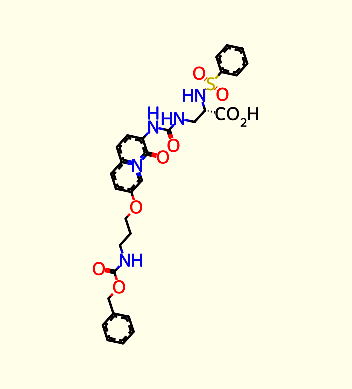 O=C(NC[C@H](NS(=O)(=O)c1ccccc1)C(=O)O)Nc1ccc2ccc(OCCCNC(=O)OCc3ccccc3)cn2c1=O